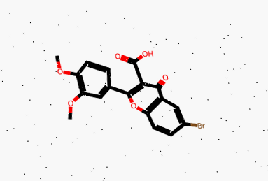 COc1ccc(-c2oc3ccc(Br)cc3c(=O)c2C(=O)O)cc1OC